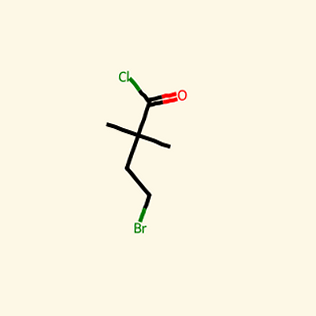 CC(C)(CCBr)C(=O)Cl